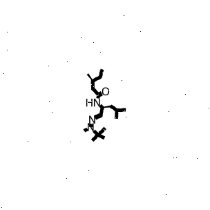 CC[C@H](C)CC(=O)N[C@H](/C=N/N(C)C(C)(C)C)CC(C)C